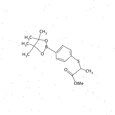 COC(=O)C(C)Sc1ccc(B2OC(C)(C)C(C)(C)O2)cc1